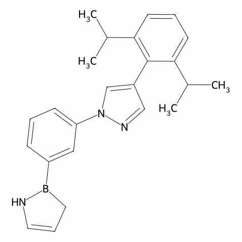 CC(C)c1cccc(C(C)C)c1-c1cnn(-c2cccc(B3CC=CN3)c2)c1